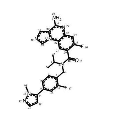 CC(C)N(Cc1ccc(-c2ccnn2C)cc1F)C(=O)c1cc2c(cc1F)nc(N)c1cncn12